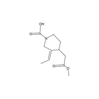 CC=C1CN(C(=O)O)CCC1CC(=O)OC